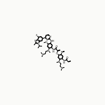 C=CC(=O)Nc1cc(N=C)c(OC(=C)C(=O)Nc2cc(Nc3nccc(-c4cc(F)c5nc(C)n(C(C)C)c5c4)n3)c(OC)cc2N(C)CCN(C)C)cc1N(C)CCN(C)C